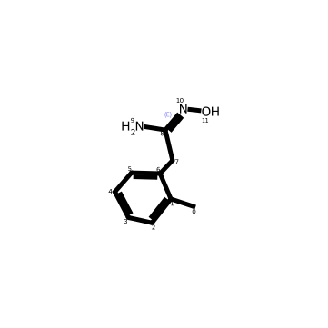 Cc1ccccc1C/C(N)=N\O